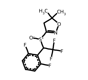 CC1(C)CC([S+]([O-])C(c2c(F)cccc2F)C(F)(F)F)=NO1